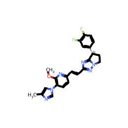 COc1nc(C=Cc2nc3n(n2)CC[C@H]3c2ccc(F)c(F)c2)ccc1-n1cnc(C)c1